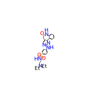 CCN(CC)CCNS(=O)(=O)c1ccc(Nc2ncc3c(n2)-c2ccccc2NC(=O)C3)cc1